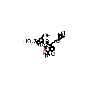 Cc1cc(OCCCc2c3n(c4c(-c5c(C)nn(C)c5C)c(Cl)ccc24)C(C)CN(c2cc(CO)cc4c(C(=O)O)cn(C)c24)C3=O)cc(C)c1Cl